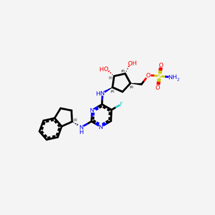 NS(=O)(=O)OC[C@H]1C[C@@H](Nc2nc(N[C@H]3CCc4ccccc43)ncc2F)[C@H](O)[C@@H]1O